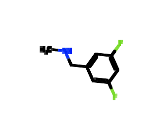 CNCc1cc(F)cc(F)c1